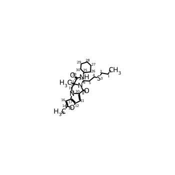 CCCSCCCN1C(=O)c2cc3oc(C)cc3n2CC1(C)C(=O)NC1CCCCC1